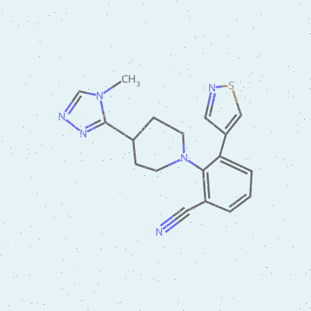 Cn1cnnc1C1CCN(c2c(C#N)cccc2-c2cnsc2)CC1